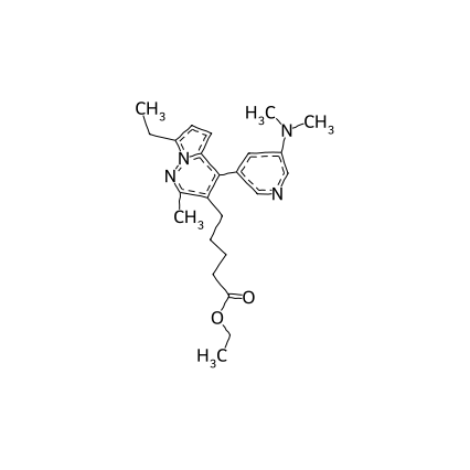 CCOC(=O)CCCCc1c(C)nn2c(CC)ccc2c1-c1cncc(N(C)C)c1